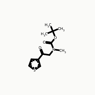 CN(CC(=O)c1ccsc1)C(=O)OC(C)(C)C